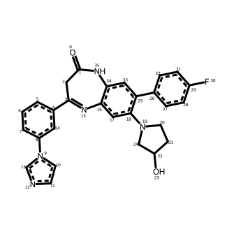 O=C1CC(c2cccc(-n3ccnc3)c2)=Nc2cc(N3CCC(O)C3)c(-c3ccc(F)cc3)cc2N1